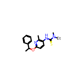 CCN(C)C(=S)Nc1ccc(OC(C)c2ccccc2)nc1C